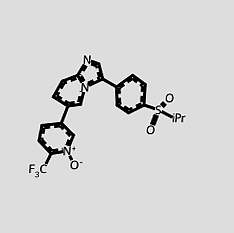 CC(C)S(=O)(=O)c1ccc(-c2cnc3ccc(-c4ccc(C(F)(F)F)[n+]([O-])c4)cn23)cc1